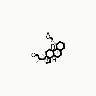 COCO[C@H]1CCCC2=CC[C@H]3[C@@H]4CC[C@H]([C@H](C)C=O)[C@@]4(C)CC[C@@H]3[C@]21C